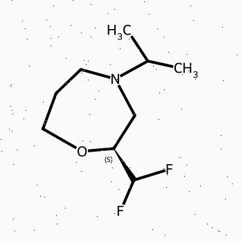 CC(C)N1CCCO[C@H](C(F)F)C1